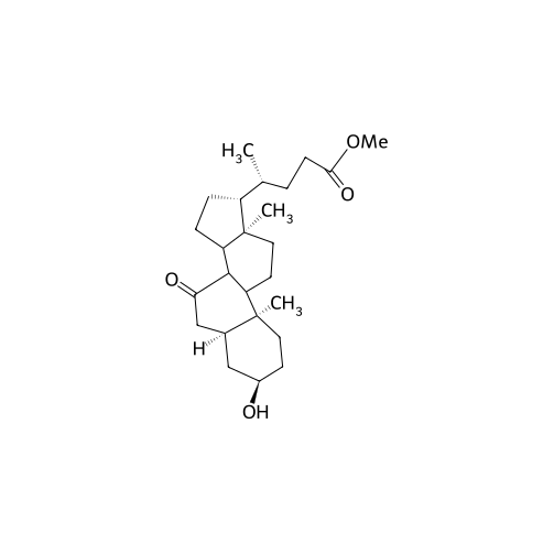 COC(=O)CC[C@@H](C)[C@H]1CCC2C3C(=O)C[C@@H]4C[C@H](O)CC[C@]4(C)C3CC[C@@]21C